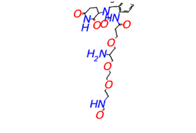 Cc1cccc(NC(=O)CCOCC(N)COCCOCCNC=O)c1CN(C=O)C1CCC(=O)NC1=O